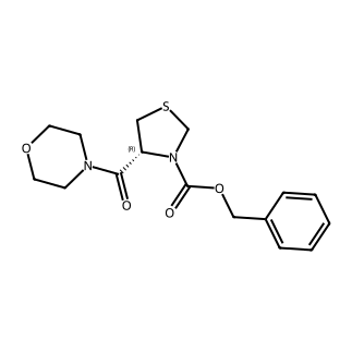 O=C([C@@H]1CSCN1C(=O)OCc1ccccc1)N1CCOCC1